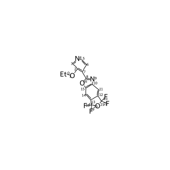 CCOc1cnccc1-c1nc2cc3c(cc2o1)C(F)(F)OC3(F)F